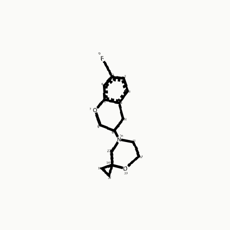 Fc1ccc2c(c1)OCC(N1CCOC3(CC3)C1)C2